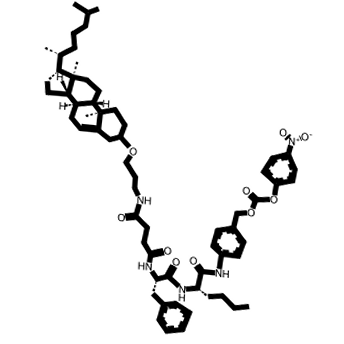 CCCC[C@H](NC(=O)[C@H](Cc1ccccc1)NC(=O)CCC(=O)NCCCOC1CC[C@@]2(C)C(=CC[C@H]3[C@@H]4CC[C@H]([C@H](C)CCCC(C)C)[C@@]4(C)CC[C@@H]32)C1)C(=O)Nc1ccc(COC(=O)Oc2ccc([N+](=O)[O-])cc2)cc1